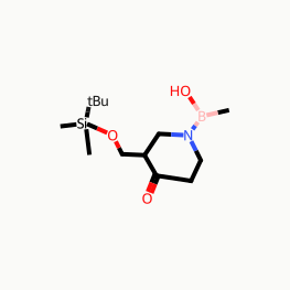 CB(O)N1CCC(=O)C(CO[Si](C)(C)C(C)(C)C)C1